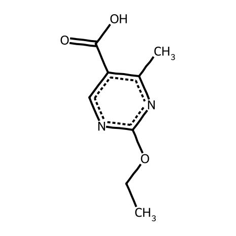 CCOc1ncc(C(=O)O)c(C)n1